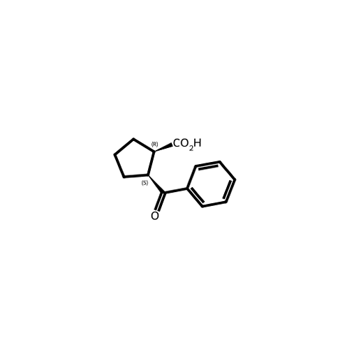 O=C(c1ccccc1)[C@H]1CCC[C@H]1C(=O)O